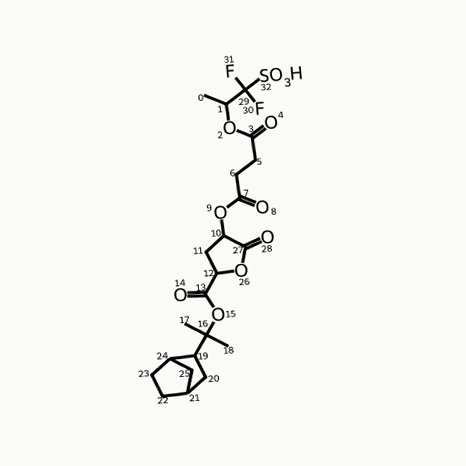 CC(OC(=O)CCC(=O)OC1CC(C(=O)OC(C)(C)C2CC3CCC2C3)OC1=O)C(F)(F)S(=O)(=O)O